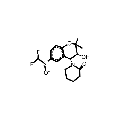 CC1(C)Oc2ccc([S+]([O-])C(F)F)cc2[C@@H](N2CCCCC2=O)[C@@H]1O